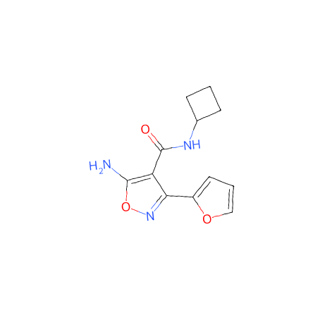 Nc1onc(-c2ccco2)c1C(=O)NC1CCC1